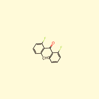 O=[C]c1cccc(F)c1C(=O)c1ccccc1F